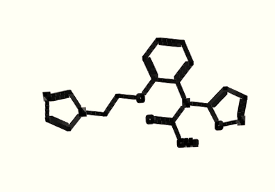 COC(=O)N(c1ccno1)c1ccccc1OCCn1ccnc1